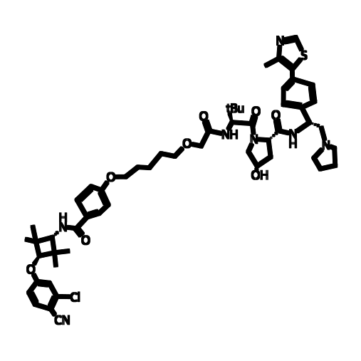 Cc1ncsc1-c1ccc([C@H](CN2CCCC2)NC(=O)[C@@H]2C[C@@H](O)CN2C(=O)[C@@H](NC(=O)COCCCCCOc2ccc(C(=O)N[C@H]3C(C)(C)[C@H](Oc4ccc(C#N)c(Cl)c4)C3(C)C)cc2)C(C)(C)C)cc1